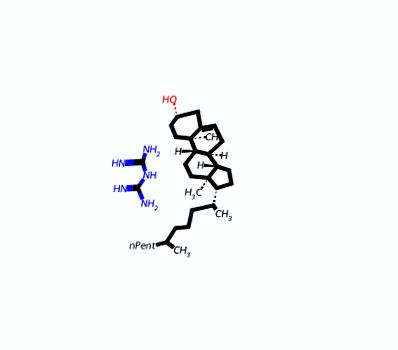 CCCCCC(C)CCCC(C)[C@H]1CC[C@H]2[C@@H]3CC=C4C[C@@H](O)CC[C@]4(C)[C@H]3CC[C@]12C.N=C(N)NC(=N)N